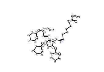 CCCCCCCCCC(=O)OCCCC/C=C\C[C@@H]1[C@@H](/C=C/[C@H](CCCCC)OC2CCCCO2)[C@H](OC2CCCCO2)C[C@@H]1OC1CCCCO1